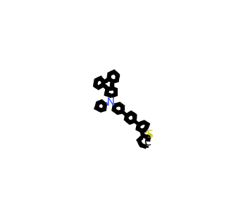 c1ccc(N(c2ccc(-c3ccc(-c4ccc5sc6ccccc6c5c4)cc3)cc2)c2ccc3c4ccccc4c4ccccc4c3c2)cc1